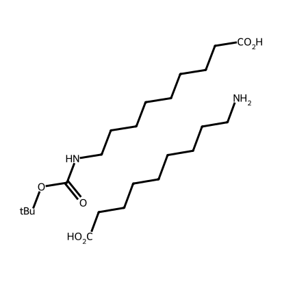 CC(C)(C)OC(=O)NCCCCCCCCC(=O)O.NCCCCCCCCC(=O)O